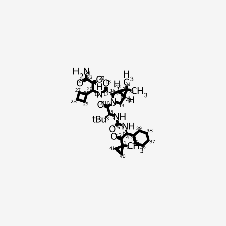 CC1(C(=O)[C@@H](NC(=O)N[C@H](C(=O)N2C[C@H]3[C@@H]([C@H]2C(=O)NC(C(=O)C(N)=O)C2CCC2)C3(C)C)C(C)(C)C)C2CCCCC2)CC1